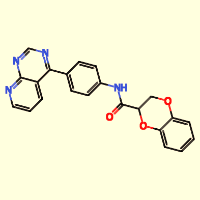 O=C(Nc1ccc(-c2ncnc3ncccc23)cc1)C1COc2ccccc2O1